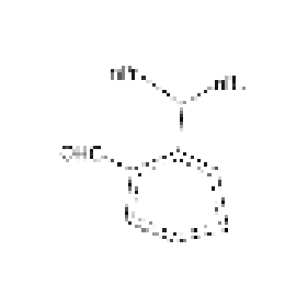 CCCCC(CCC)c1ccccc1C=O